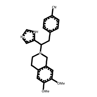 COc1cc2c(cc1OC)CN(C(Cc1ccc(C#N)cc1)c1cnc[nH]1)CC2